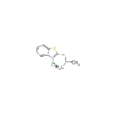 CC(C)Cc1sc2ccccc2c1Cl